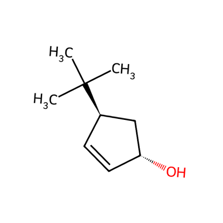 CC(C)(C)[C@@H]1C=C[C@@H](O)C1